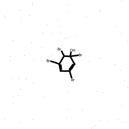 OC1(Br)C=C(Br)C=C(Br)C1Br